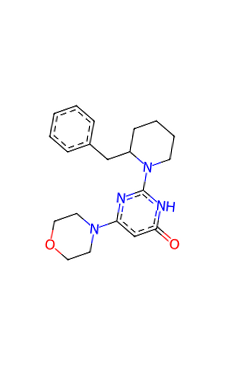 O=c1cc(N2CCOCC2)nc(N2CCCCC2Cc2ccccc2)[nH]1